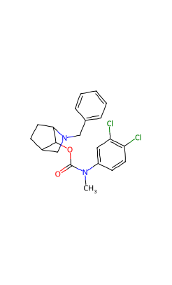 CN(C(=O)OC1C2CCC1N(Cc1ccccc1)C2)c1ccc(Cl)c(Cl)c1